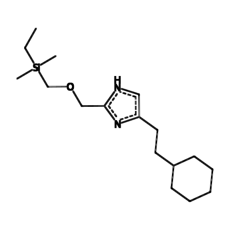 CC[Si](C)(C)COCc1nc(CCC2CCCCC2)c[nH]1